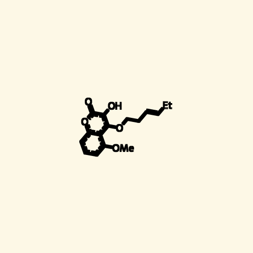 CCC=CCCOc1c(O)c(=O)oc2cccc(OC)c12